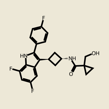 O=C(N[C@H]1C[C@H](c2c(-c3ccc(F)cc3)[nH]c3c(F)cc(F)cc32)C1)C1(CO)CC1